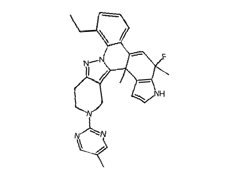 CCc1cccc2c1-n1nc3c(c1C1(C)C2=CC(C)(F)c2[nH]ccc21)CN(c1ncc(C)cn1)CC3